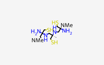 CNC[C@](N)(CS)NC[C@](C)(CS)NC[C@](N)(CS)NC